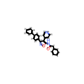 O=C(Cc1ccccc1)Nc1onc(-c2ccc(-c3ccccc3)cc2)c1-c1ccncc1